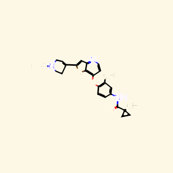 Cc1cc(NC(=O)C2(C)CC2)ccc1Oc1ccnc2cc(C3=CCN(C)CC3)sc12